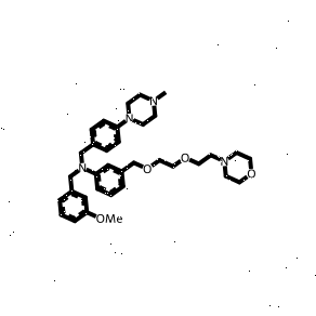 COc1cccc(CN(Cc2ccc(N3CCN(C)CC3)cc2)c2cccc(COCCOCCN3CCOCC3)c2)c1